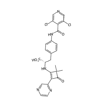 CC1(C)C(=O)C(c2cnccn2)=C1N[C@@H](Cc1ccc(NC(=O)c2c(Cl)cncc2Cl)cc1)C(=O)O